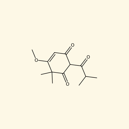 COC1=CC(=O)C(C(=O)C(C)C)C(=O)C1(C)C